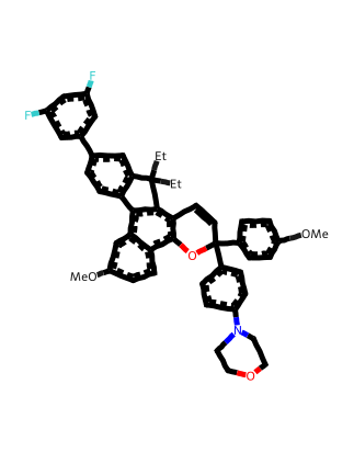 CCC1(CC)c2cc(-c3cc(F)cc(F)c3)ccc2-c2c1c1c(c3ccc(OC)cc23)OC(c2ccc(OC)cc2)(c2ccc(N3CCOCC3)cc2)C=C1